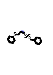 C(=C/SSCc1ccccc1)/CSc1ccccc1